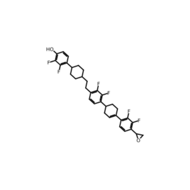 Oc1ccc(C2CCC(CCc3ccc(C4CC=C(c5ccc(C6CO6)c(F)c5F)CC4)c(F)c3F)CC2)c(F)c1F